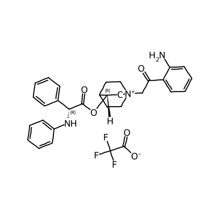 Nc1ccccc1C(=O)C[N+]12CCC(CC1)[C@@H](OC(=O)[C@H](Nc1ccccc1)c1ccccc1)C2.O=C([O-])C(F)(F)F